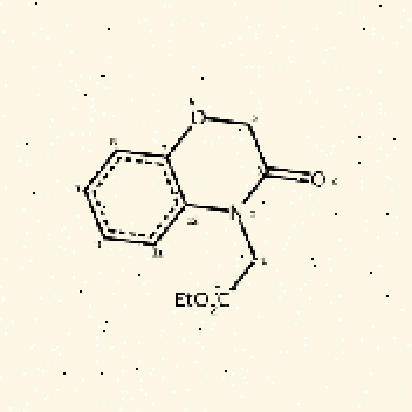 CCOC(=O)CN1C(=O)COc2cc[c]cc21